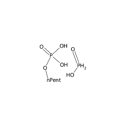 CCCCCOP(=O)(O)O.O=[PH2]O